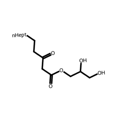 CCCCCCCCCC(=O)CC(=O)OCC(O)CO